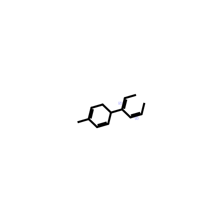 C/C=C\C(=C/C)C1C=CC(C)=CC1